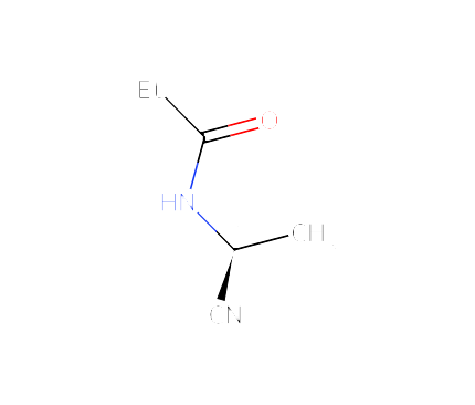 CCC(=O)N[C@@H](C)C#N